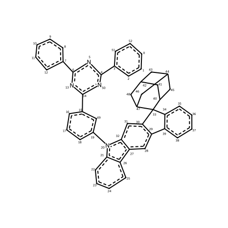 c1ccc(-c2nc(-c3ccccc3)nc(-c3cccc(-n4c5ccccc5c5cc6c(cc54)C4(c5ccccc5-6)C5CC6CC(C5)CC4C6)c3)n2)cc1